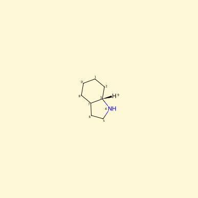 C1CC[C@@H]2NCCC2C1